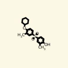 Cc1cc(S(=O)(=O)c2ccc(OC3CCCCC3)c(C)c2)ccc1O